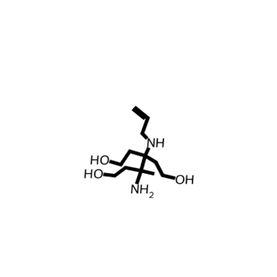 C=CCNC(CCO)(CCO)C(C)(N)CCO